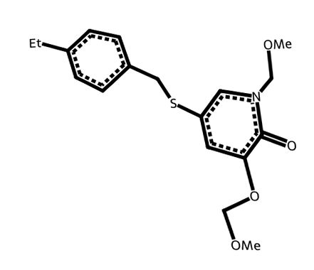 CCc1ccc(CSc2cc(OCOC)c(=O)n(COC)c2)cc1